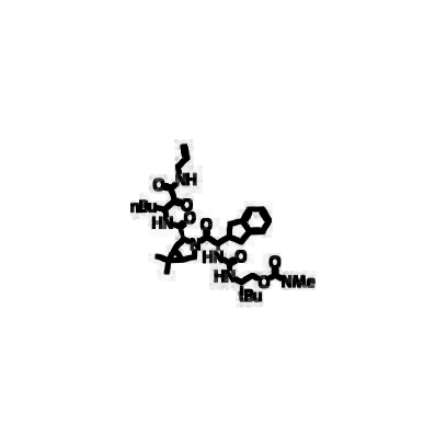 C=CCNC(=O)C(=O)C(CCCC)NC(=O)[C@@H]1C2C(CN1C(=O)[C@@H](NC(=O)N[C@H](COC(=O)NC)C(C)(C)C)C1Cc3ccccc3C1)C2(C)C